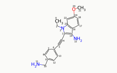 CCn1c(C#Cc2ccc(CN)cc2)c(N)c2ccc(OC)cc21